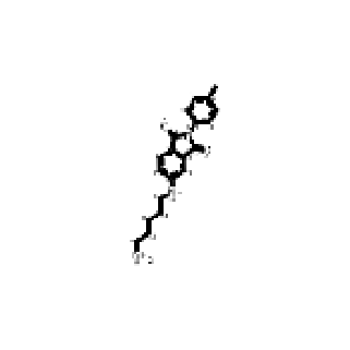 Cc1ccc(N2C(=O)c3ccc(NCCCCCN)cc3C2=O)cc1